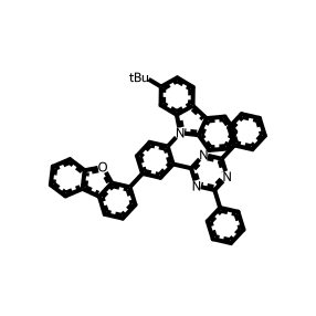 CC(C)(C)c1ccc2c3ccccc3n(-c3ccc(-c4cccc5c4oc4ccccc45)cc3-c3nc(-c4ccccc4)nc(-c4ccccc4)n3)c2c1